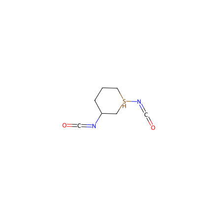 O=C=NC1CCC[SH](N=C=O)C1